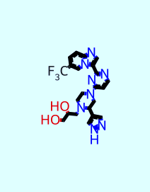 OCC(O)CN1CCN(c2ccnc(-c3cnc4ccc(C(F)(F)F)cn34)n2)CC1c1cn[nH]c1